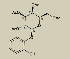 CC(=O)OC[C@H]1O[C@@H](Oc2ccccc2O)[C@H](OC(C)=O)[C@@H](OC(C)=O)[C@H]1OC(C)=O